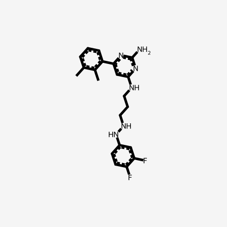 Cc1cccc(-c2cc(NCCCNNc3ccc(F)c(F)c3)nc(N)n2)c1C